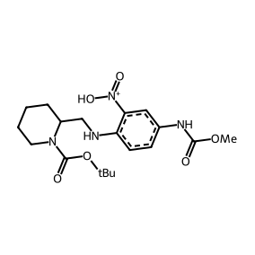 COC(=O)Nc1ccc(NCC2CCCCN2C(=O)OC(C)(C)C)c([N+](=O)O)c1